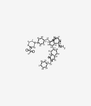 CS(=O)(=O)N1CCCC(c2ccc(Cc3cc(-c4ccc5cn(Cc6ccccc6)nc5c4)c4c(N)ncnn34)cc2)C1